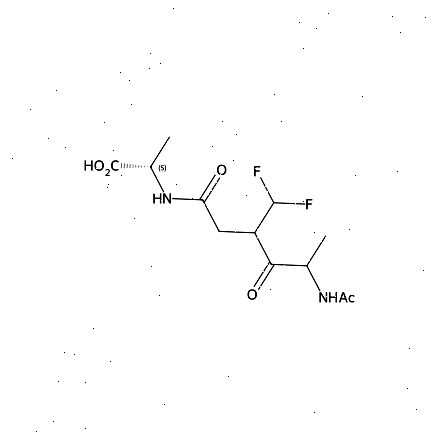 CC(=O)NC(C)C(=O)C(CC(=O)N[C@@H](C)C(=O)O)C(F)F